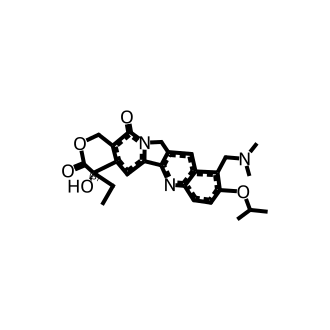 CC[C@@]1(O)C(=O)OCc2c1cc1n(c2=O)Cc2cc3c(CN(C)C)c(OC(C)C)ccc3nc2-1